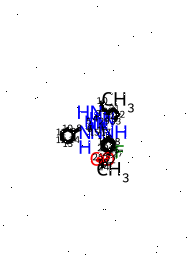 CCC(Nc1nc(NCC2CCCCC2)nc(Nc2ccc(OC(C)=O)c(F)c2)n1)C1CCCN1